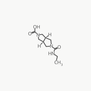 CCNC(=O)N1C[C@H]2CN(C(=O)O)C[C@H]2C1